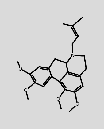 COc1cc2c(cc1OC)-c1c(OC)c(OC)cc3c1C(C2)N(CC=C(C)C)CC3